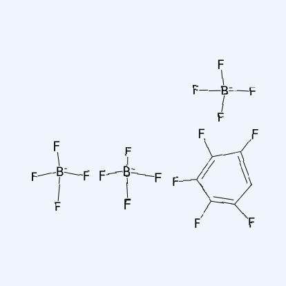 F[B-](F)(F)F.F[B-](F)(F)F.F[B-](F)(F)F.Fc1cc(F)c(F)c(F)c1F